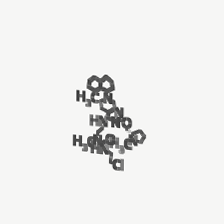 Cc1cccc2cccc(N3CCc4c(nc(OC[C@@H]5CCCN5C)nc4NCCN(C)C(=O)NCCCl)C3)c12